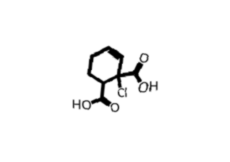 O=C(O)C1CCC=CC1(Cl)C(=O)O